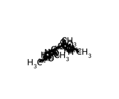 C/C=C/C1=CN2C(=O)c3cc(OC)c(OCCCOc4cc5c(cc4OC)C(=O)N4C=C(/C=C/C)C[C@H]4C=N5)cc3N=C[C@@H]2C1